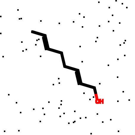 CC=CCC/C=C/CO